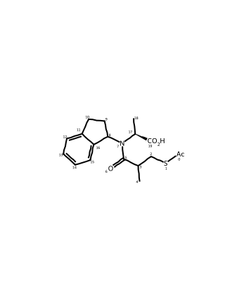 CC(=O)SCC(C)C(=O)N(C1CCc2ccccc21)[C@@H](C)C(=O)O